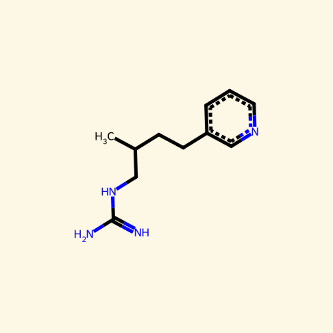 CC(CCc1cccnc1)CNC(=N)N